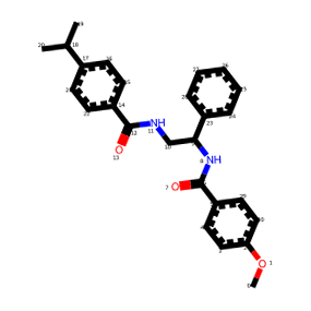 COc1ccc(C(=O)NC(CNC(=O)c2ccc(C(C)C)cc2)c2ccccc2)cc1